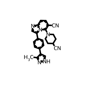 Cc1n[nH]cc1-c1ccc(-c2cnc3ccc(C#N)c(N4CCC(C#N)CC4)n23)cc1